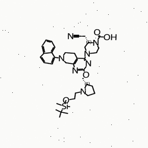 CC(C)(C)[Si](C)(C)OCCN1CCC[C@H]1COc1nc2c(c(N3CCN(C(=O)O)[C@@H](CC#N)C3)n1)CCN(c1cccc3ccccc13)C2